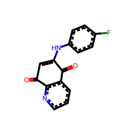 O=C1C(Nc2ccc(F)cc2)=CC(=O)c2ncccc21